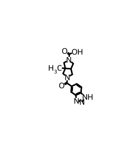 CC12CN(C(=O)O)CC1CN(C(=O)c1ccc3[nH]nnc3c1)C2